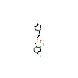 [O-][S+](/C=C/c1ccc(I)cc1)Cc1ccc(Cl)cc1Cl